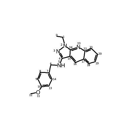 CCn1nc(NCc2ccc(OC)cc2)c2cc3ccccc3nc21